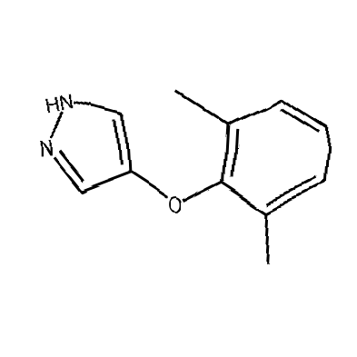 Cc1cccc(C)c1Oc1cn[nH]c1